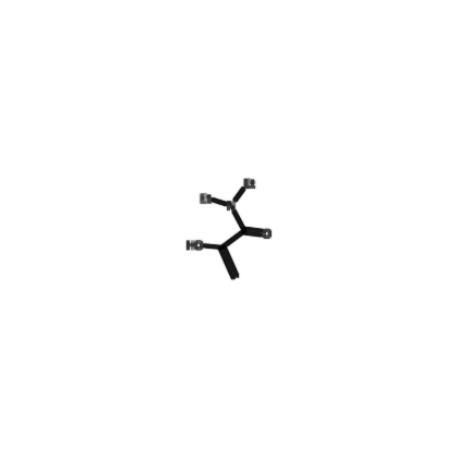 C=C(O)C(=O)N(CC)CC